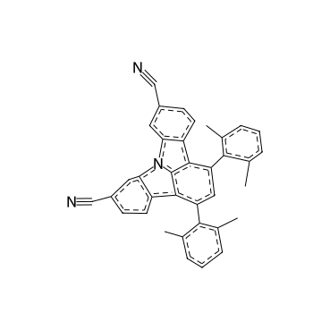 Cc1cccc(C)c1-c1cc(-c2c(C)cccc2C)c2c3ccc(C#N)cc3n3c4cc(C#N)ccc4c1c23